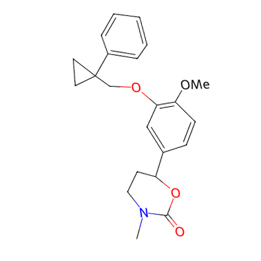 COc1ccc(C2CCN(C)C(=O)O2)cc1OCC1(c2ccccc2)CC1